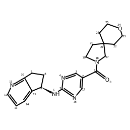 O=C(c1cnc(N[C@@H]2CCc3ncccc32)nc1)N1CCC2(CCOCC2)C1